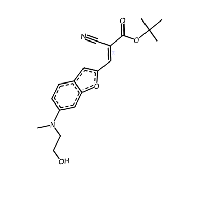 CN(CCO)c1ccc2cc(/C=C(\C#N)C(=O)OC(C)(C)C)oc2c1